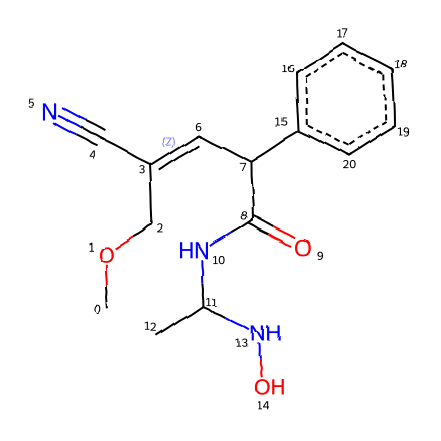 COC/C(C#N)=C\C(C(=O)NC(C)NO)c1ccccc1